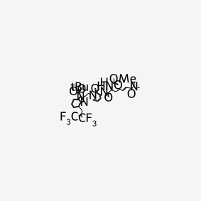 COC(=O)NC(CCC=CC(=O)N(C)C)C(=O)Nc1cccn(Cc2nc3c(CC(C(F)(F)F)C(F)(F)F)cccc3n2C(=O)OC(C)(C)C)c1=O